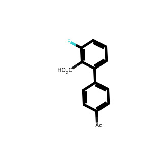 CC(=O)c1ccc(-c2cccc(F)c2C(=O)O)cc1